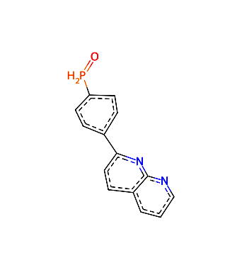 O=[PH2]c1ccc(-c2ccc3cccnc3n2)cc1